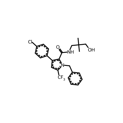 CC(C)(CO)CNC(=O)c1c(-c2ccc(Cl)cc2)cc(C(F)(F)F)n1Cc1ccccc1